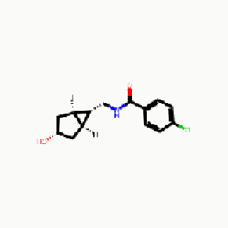 O=C(NC[C@@H]1[C@H]2C[C@H](O)C[C@@H]12)c1ccc(Cl)cc1